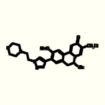 CCOC(=O)c1cn2c(cc1=O)-c1cc(OC)c(-c3cnn(CCN4CCOCC4)c3)cc1CC2C(C)(C)C